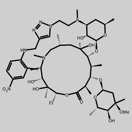 CC[C@H]1OC(=O)[C@H](C)[C@@H](O[C@H]2C[C@@](C)(OC)[C@@H](O)[C@H](C)O2)[C@H](C)[C@@H](O[C@@H]2O[C@H](C)C[C@H](N(C)CCn3cc(CNc4ccc([N+](=O)[O-])cc4F)nn3)[C@H]2O)[C@](C)(O)C[C@@H](C)CN(C)[C@H](C)[C@@H](O)[C@]1(C)O